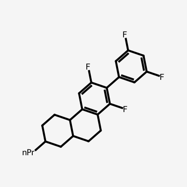 CCCC1CCC2c3cc(F)c(-c4cc(F)cc(F)c4)c(F)c3CCC2C1